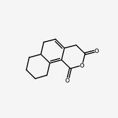 O=C1CC2=CCC3CCCCC3=C2C(=O)O1